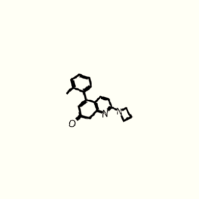 Cc1ccccc1C1=CC(=O)Cc2nc(N3CCC3)ccc21